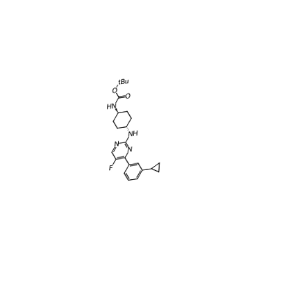 CC(C)(C)OC(=O)N[C@H]1CC[C@H](Nc2ncc(F)c(-c3cccc(C4CC4)c3)n2)CC1